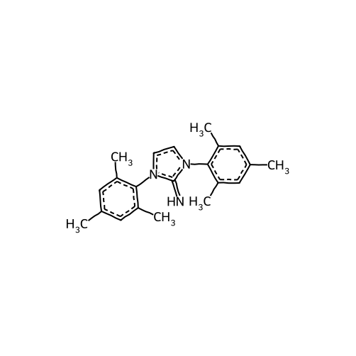 Cc1cc(C)c(-n2ccn(-c3c(C)cc(C)cc3C)c2=N)c(C)c1